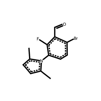 Cc1ccc(C)n1-c1ccc(Br)c(C=O)c1F